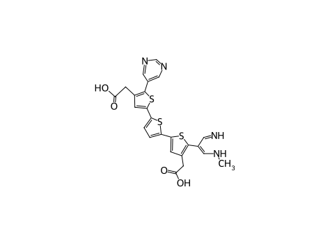 CN/C=C(\C=N)c1sc(-c2ccc(-c3cc(CC(=O)O)c(-c4cncnc4)s3)s2)cc1CC(=O)O